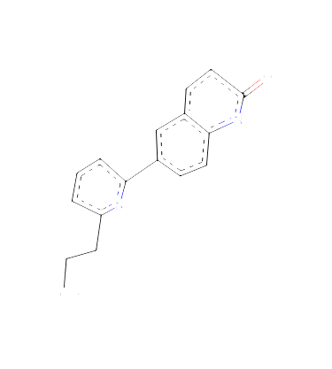 O=CCCc1cccc(-c2ccc3[nH]c(=O)ccc3c2)n1